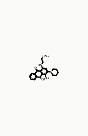 COCCNc1cc(N2CCCCC2)c2c3c1C(=O)c1ccccc1C3ON2